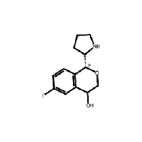 OC1CO[C@@H](C2CCCN2)c2ccc(F)cc21